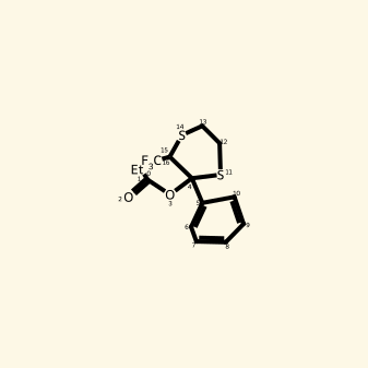 CCC(=O)OC1(c2ccccc2)SCCSC1C(F)(F)F